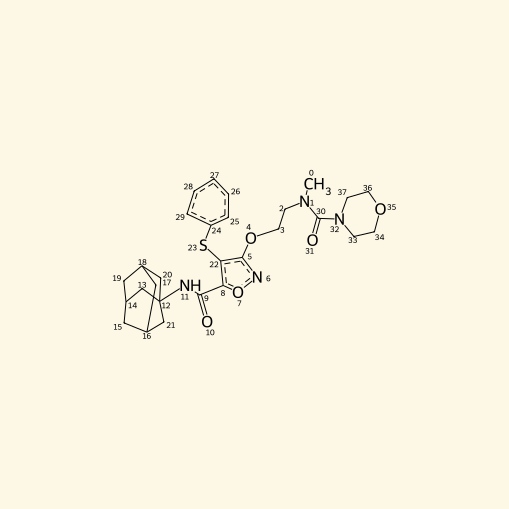 CN(CCOc1noc(C(=O)NC23CC4CC(CC(C4)C2)C3)c1Sc1ccccc1)C(=O)N1CCOCC1